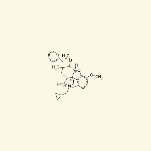 COc1ccc2c3c1O[C@H]1C(OC)C(C)(Cc4ccccc4)CC4[C@@H](C2)N(CC2CC2)CC[C@@]341